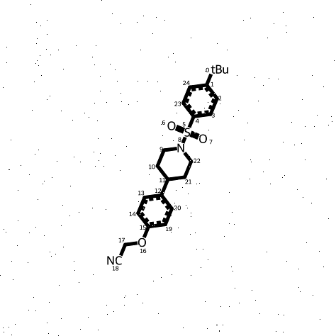 CC(C)(C)c1ccc(S(=O)(=O)N2CCC(c3ccc(OCC#N)cc3)CC2)cc1